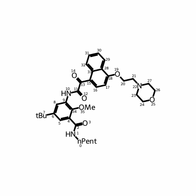 CCCCCNC(=O)c1cc(C(C)(C)C)cc(NC(=O)C(=O)c2ccc(OCCN3CCOCC3)c3ccccc23)c1OC